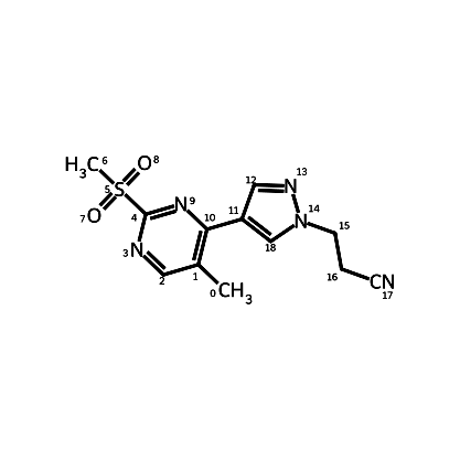 Cc1cnc(S(C)(=O)=O)nc1-c1cnn(CCC#N)c1